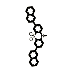 CN1c2ccc(-c3ccc4ccccc4c3)cc2S(=O)(=O)c2cc(-c3ccc4ccccc4c3)ccc21